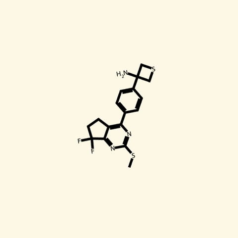 CSc1nc(-c2ccc(C3(N)CSC3)cc2)c2c(n1)C(F)(F)CC2